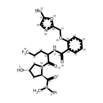 CC(C)N(C)C(=O)[C@H]1C[C@H](O)CN1C(=O)C(CCC(F)(F)F)NC(=O)c1ccccc1OCc1ncc(C(C)(C)C)o1